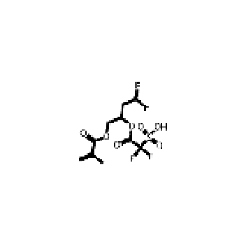 C=C(C)C(=O)OCC(CC(F)F)OC(=O)C(F)(F)S(=O)(=O)O